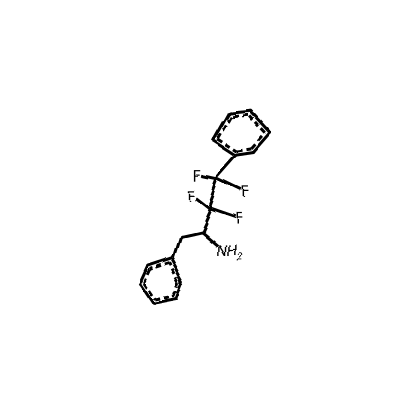 NC(Cc1ccccc1)C(F)(F)C(F)(F)c1ccccc1